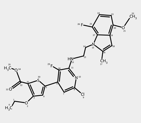 CCOc1cc(-c2cc(Cl)nc(NCCn3c(C)cc4c(OC)ccc(F)c43)c2F)sc1C(=O)OC